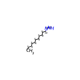 CCCCCCCCCCCN=N